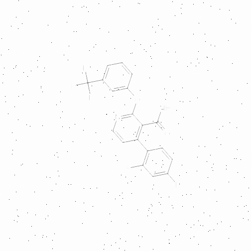 NC(=O)c1c(-c2ccc(F)cc2F)ccnc1Oc1cccc(C(F)(F)F)c1